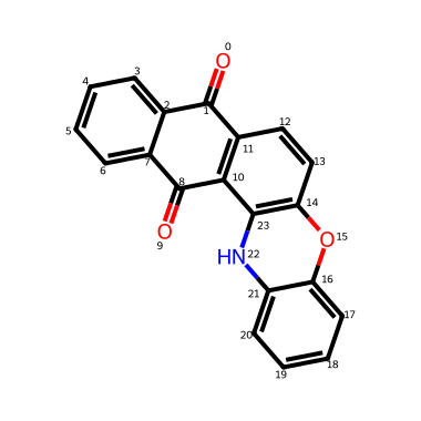 O=c1c2ccccc2c(=O)c2c1ccc1oc3ccccc3[nH]c12